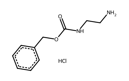 Cl.NCCNC(=O)OCc1ccccc1